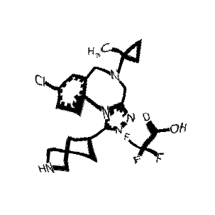 CC1(N2Cc3cc(Cl)ccc3-n3c(nnc3C3CC4(CNC4)C3)C2)CC1.O=C(O)C(F)(F)F